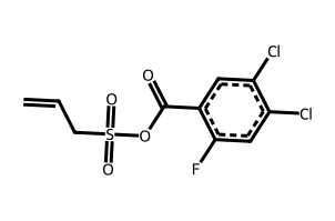 C=CCS(=O)(=O)OC(=O)c1cc(Cl)c(Cl)cc1F